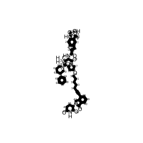 CC(C)(C)[C@H](NC(=O)c1cc2cc(C(F)(F)P(=O)(O)O)ccc2s1)C(=O)N1C[C@@H](OCCCCCC#Cc2cccc3c2CN(C2CCC(=O)NC2=O)C3=O)C[C@H]1C(=O)N1CCC[C@H](c2ccccc2)C1